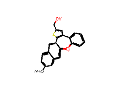 COc1ccc2cc3c(cc2c1)Oc1ccccc1-c1cc(CO)sc1-3